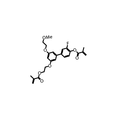 C=C(C)C(=O)OCCOc1cc(OCCOC)cc(-c2ccc(OC(=O)C(=C)C)c(F)c2)c1